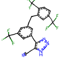 N#Cc1[nH]nnc1-c1cc(Cc2cc(C(F)(F)F)ccc2C(F)(F)F)cc(C(F)(F)F)c1